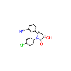 N#Cc1cccc([C@H]2C[C@H](O)C(=O)N2c2ccc(Cl)cc2)c1